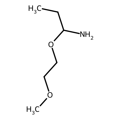 CCC(N)OCCOC